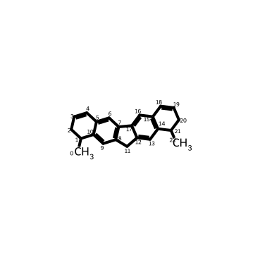 CC1CC=Cc2cc3c(cc21)Cc1cc2c(cc1-3)C=CCC2C